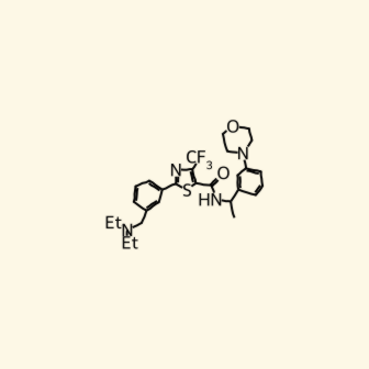 CCN(CC)Cc1cccc(-c2nc(C(F)(F)F)c(C(=O)NC(C)c3cccc(N4CCOCC4)c3)s2)c1